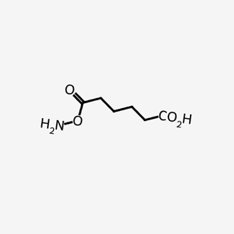 NOC(=O)CCCCC(=O)O